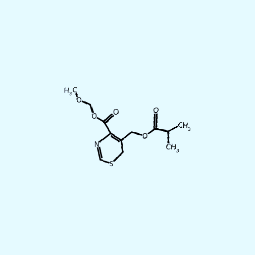 COCOC(=O)C1=C(COC(=O)C(C)C)CSC=N1